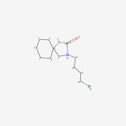 O=C1SC2(CCCCC2)CN1CCCCBr